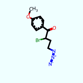 COc1ccc(C(=O)C(Br)CCN=[N+]=[N-])cc1